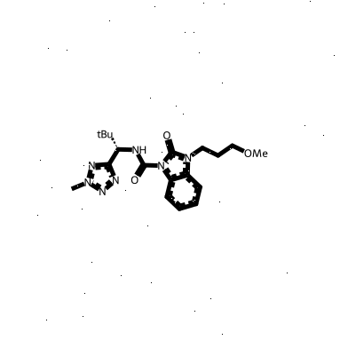 COCCCn1c(=O)n(C(=O)N[C@H](c2nnn(C)n2)C(C)(C)C)c2ccccc21